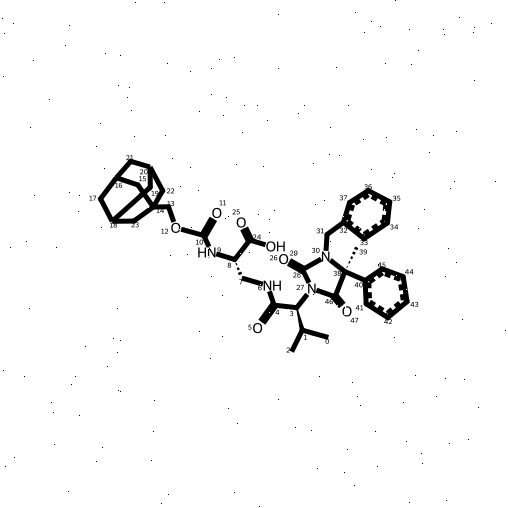 CC(C)[C@@H](C(=O)NC[C@H](NC(=O)OCC12CC3CC(CC(C3)C1)C2)C(=O)O)N1C(=O)N(Cc2ccccc2)[C@@](C)(c2ccccc2)C1=O